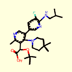 Cc1ncc(-c2cnc(NCC(C)C)c(F)c2)c(N2CCC(C)(C)CC2)c1C(OC(C)(C)C)C(=O)O